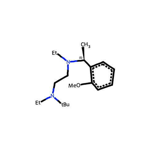 CCN(CCN(CC)C(C)(C)C)[C@@H](C)c1ccccc1OC